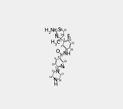 CC1(c2cc(NC(=O)c3ccc(N4CCNCC4)nc3)ccc2F)CCSC(N)=N1